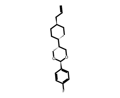 C=CC[C@H]1CC[C@H]([C@H]2CO[C@H](c3ccc(F)cc3)OC2)CC1